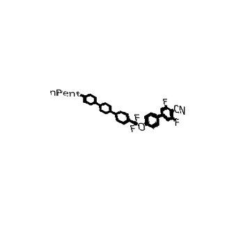 CCCCCC1CCC(C2CCC(C3CCC(C(F)(F)Oc4ccc(-c5cc(F)c(C#N)c(F)c5)cc4)CC3)CC2)CC1